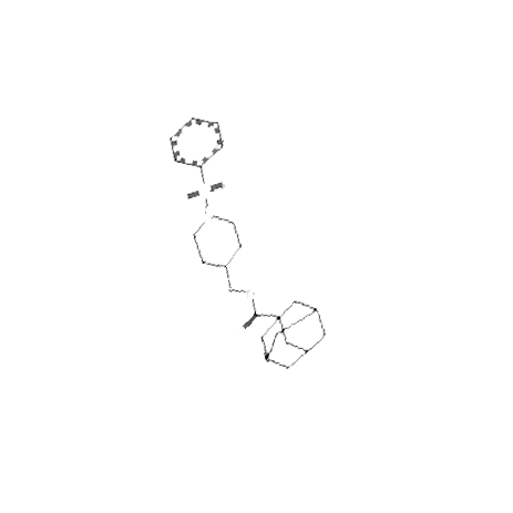 O=C(NCC1CCN(S(=O)(=O)c2ccccc2)CC1)C12CC3CC(CC(C3)C1)C2